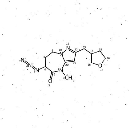 CN1C(=O)C(N=[N+]=[N-])CCn2nc(CC3CCOC3)cc21